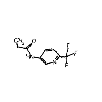 CCC(=O)Nc1ccc(C(F)(F)F)nc1